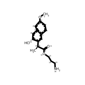 COc1ccc2cc([C@H](C)C(=O)OCCCN)ccc2c1.Cl